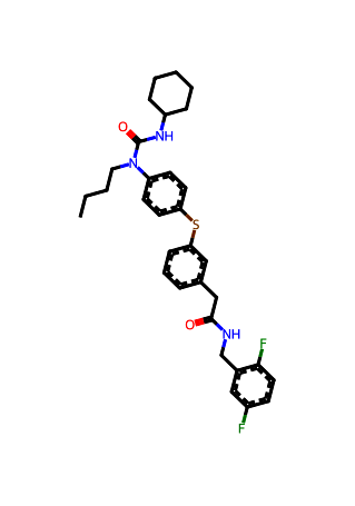 CCCCN(C(=O)NC1CCCCC1)c1ccc(Sc2cccc(CC(=O)NCc3cc(F)ccc3F)c2)cc1